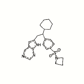 O=S(=O)(c1ccc(C(Cc2cc3cncnc3[nH]2)C2CCCCC2)cc1)N1CCC1